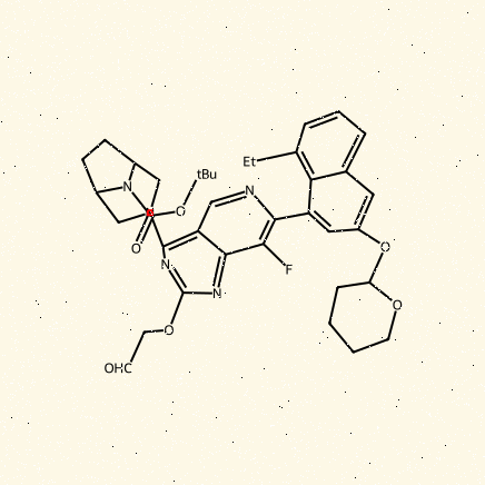 CCc1cccc2cc(OC3CCCCO3)cc(-c3ncc4c(N5CC6CCC(C5)N6C(=O)OC(C)(C)C)nc(OCC=O)nc4c3F)c12